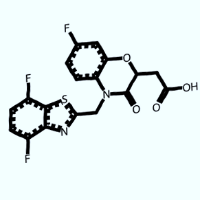 O=C(O)CC1Oc2cc(F)ccc2N(Cc2nc3c(F)ccc(F)c3s2)C1=O